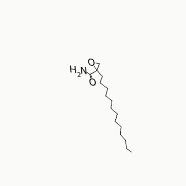 CCCCCCCCCCCCCC1(C(N)=O)CO1